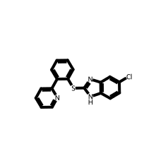 Clc1ccc2[nH]c(Sc3ccccc3-c3ccccn3)nc2c1